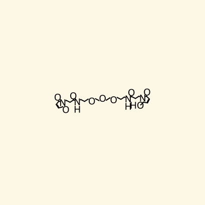 O=C(CCN1C(=O)C=CC1=O)NCCCOCCOCCOCCCNC(=O)CCN1C(=O)C=CC1O